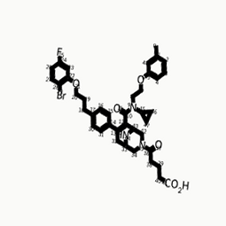 Cc1cccc(OCCN(C(=O)C2=C(c3ccc(CCCOc4cc(F)ccc4Br)cc3)CC3CN(C(=O)CCCC(=O)O)CC2N3)C2CC2)c1